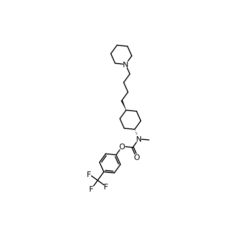 CN(C(=O)Oc1ccc(C(F)(F)F)cc1)[C@H]1CC[C@H](CCCCN2CCCCC2)CC1